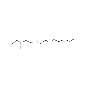 CCNCCOCCOCCOCC